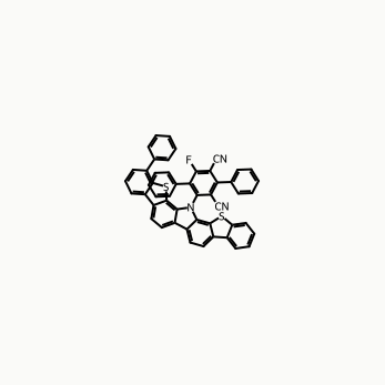 N#Cc1c(F)c(-c2ccccc2)c(-n2c3c(ccc4c5ccccc5sc43)c3ccc4c5cccc(-c6ccccc6)c5sc4c32)c(C#N)c1-c1ccccc1